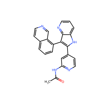 CC(=O)Nc1cc(-c2[nH]c3cccnc3c2-c2cccc3ccncc23)ccn1